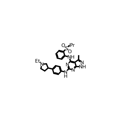 CCN1CCC(c2ccc(Nc3nc(Nc4ccccc4S(=O)(=O)C(C)C)c4c(C)n[nH]c4n3)cc2)C1